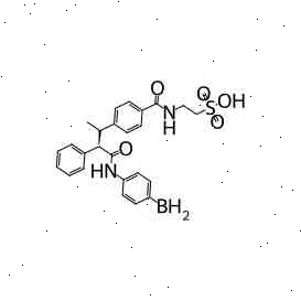 Bc1ccc(NC(=O)[C@@H](c2ccccc2)C(C)c2ccc(C(=O)NCCS(=O)(=O)O)cc2)cc1